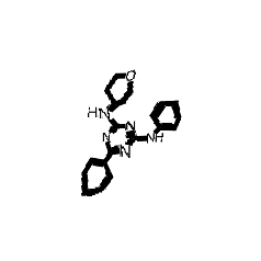 c1ccc(Nc2nc(NC3CCOCC3)nc(-c3ccccc3)n2)cc1